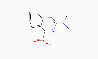 CN(C)c1cc2ccccc2c(C(=O)O)n1